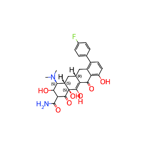 CN(C)[C@@H]1C(O)C(C(N)=O)C(=O)[C@@]2(O)C(O)=C3C(=O)c4c(O)ccc(-c5ccc(F)cc5)c4C[C@H]3C[C@@H]12